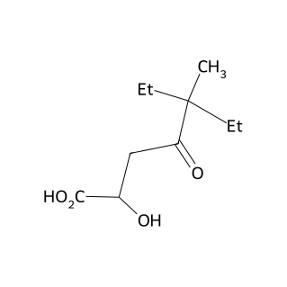 CCC(C)(CC)C(=O)CC(O)C(=O)O